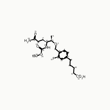 C[C@@H](OCc1ccc(CCCCC(=O)O)cc1F)[C@H](CCC(N)=O)NC(=O)OC(C)(C)C